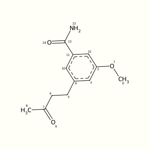 COc1cc(CCC(C)=O)cc(C(N)=O)c1